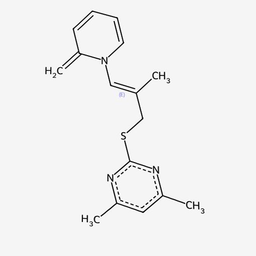 C=C1C=CC=CN1/C=C(\C)CSc1nc(C)cc(C)n1